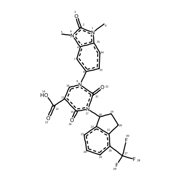 Cn1c(=O)n(C)c2cc(-n3cc(C(=O)O)c(=O)n(C4CCc5c4cccc5C(F)(F)F)c3=O)ccc21